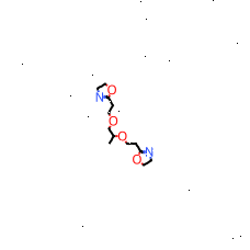 CC(COCCC1=NCCO1)OCCC1=NCCO1